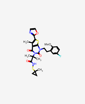 COc1ccc(F)cc1CCn1c(=O)n(C(C)(C)C(=O)NSC2(C)CC2)c(=O)c2c(C)c(-c3ncco3)sc21